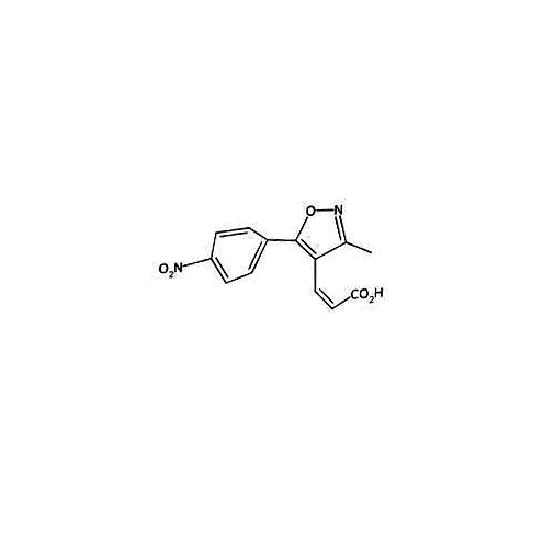 Cc1noc(-c2ccc([N+](=O)[O-])cc2)c1/C=C\C(=O)O